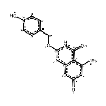 CCCCc1cc(=O)oc2nc(OCc3cc[n+](O)cc3)[nH]c(=O)c12